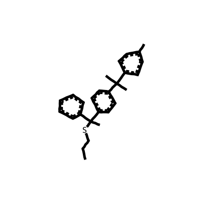 CCCSC(C)(c1ccccc1)c1ccc(C(C)(C)c2ccc(C)cc2)cc1